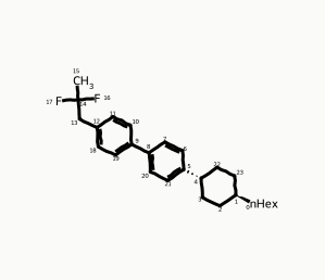 CCCCCC[C@H]1CC[C@H](c2ccc(-c3ccc(CC(C)(F)F)cc3)cc2)CC1